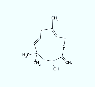 C=C1CC/C=C(\C)C/C=C/C(C)(C)C[C@H]1O